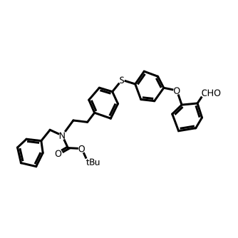 CC(C)(C)OC(=O)N(CCc1ccc(Sc2ccc(Oc3ccccc3C=O)cc2)cc1)Cc1ccccc1